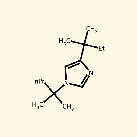 CCCC(C)(C)n1cnc(C(C)(C)CC)c1